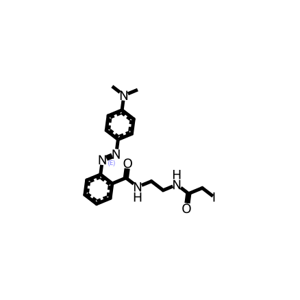 CN(C)c1ccc(/N=N/c2ccccc2C(=O)NCCNC(=O)CI)cc1